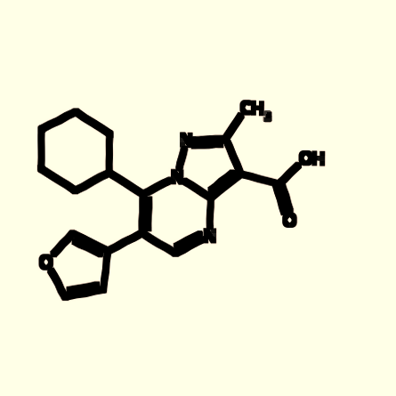 Cc1nn2c(C3CCCCC3)c(-c3ccoc3)cnc2c1C(=O)O